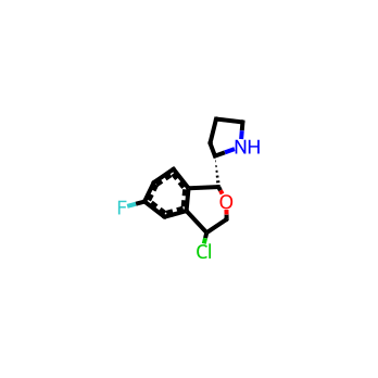 Fc1ccc2c(c1)C(Cl)COC2[C@@H]1CCCN1